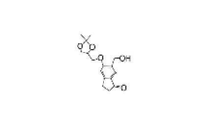 CC1(C)OCC(COc2cc3c(cc2CO)C(=O)CC3)O1